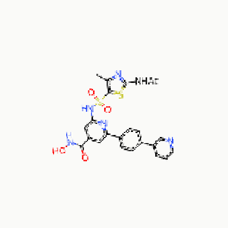 CC(=O)Nc1nc(C)c(S(=O)(=O)Nc2cc(C(=O)NO)cc(-c3ccc(-c4cccnc4)cc3)n2)s1